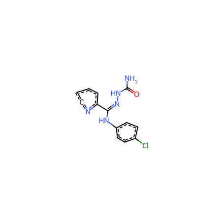 NC(=O)NN=C(Nc1ccc(Cl)cc1)c1ccccn1